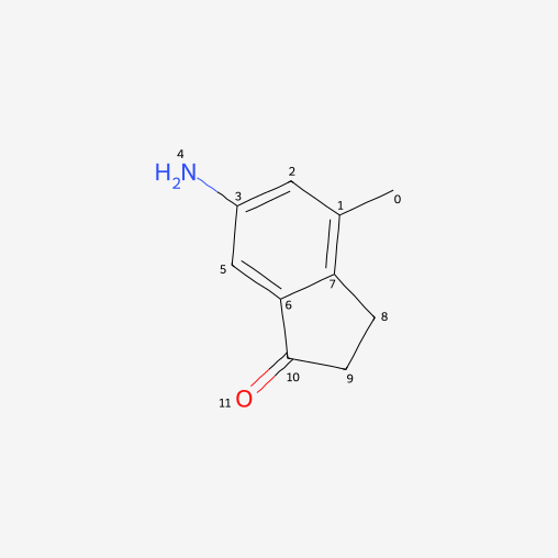 Cc1cc(N)cc2c1CCC2=O